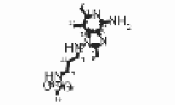 Cc1nc(N)c2nc(C)n(NCCCNS(C)(=O)=O)c2c1C